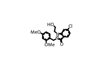 COc1ccc(Cn2c(=O)c3ccc(Cl)cc3n2CCO)c(OC)c1